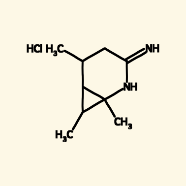 CC1CC(=N)NC2(C)C(C)C12.Cl